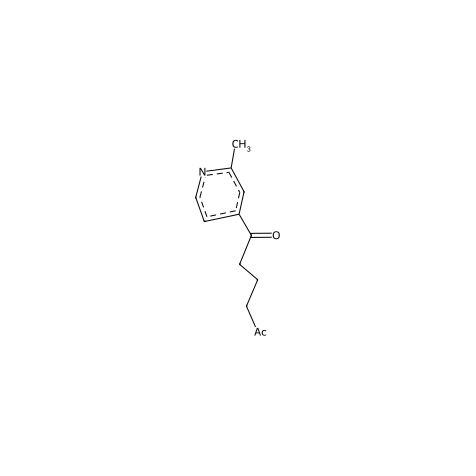 CC(=O)CCCC(=O)c1ccnc(C)c1